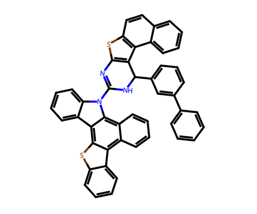 c1ccc(-c2cccc(C3NC(n4c5ccccc5c5c6sc7ccccc7c6c6ccccc6c54)=Nc4sc5ccc6ccccc6c5c43)c2)cc1